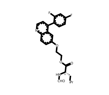 CC(C)C[C@H](NC=O)C(=O)OCCOc1ccc2nccc(-c3ccc(F)cc3F)c2c1